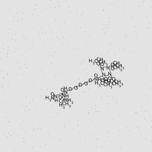 CC(C)[C@@H](N)C(=O)N[C@H](CCCNC(N)=O)C(=O)NCCOCCOCCOCCOCCOCCNC(=O)CCC(C(=O)OC(C)(C)C)N1CCN(CC(=O)OC(C)(C)C)CCN(CC(=O)OC(C)(C)C)CCN(CC(=O)OC(C)(C)C)CC1